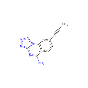 CC#Cc1ccc2c(N)nc3nncn3c2c1